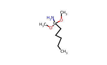 CCCCC[Si](N)(OC)OC